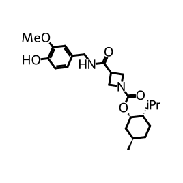 COc1cc(CNC(=O)C2CN(C(=O)O[C@H]3C[C@H](C)CC[C@H]3C(C)C)C2)ccc1O